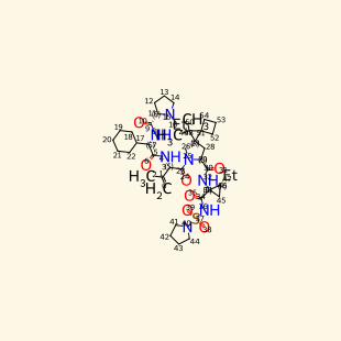 C=C(C)[C@H](NC(=O)[C@@H](NC(=O)[C@@H]1CCCN1CC)C1CCCCC1)C(=O)N1C[C@]2(C[C@H]1C(=O)N[C@]1(C(=O)NS(=O)(=O)N3CCCC3)C[C@H]1CC)C(C)(C)C21CCC1